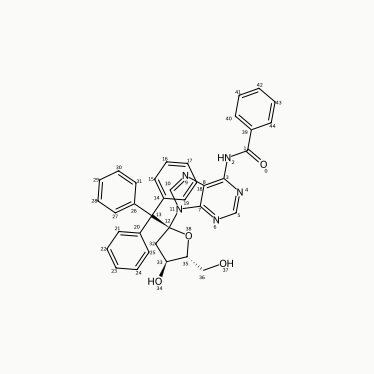 O=C(Nc1ncnc2c1ncn2[C@@]1(C(c2ccccc2)(c2ccccc2)c2ccccc2)C[C@H](O)[C@@H](CO)O1)c1ccccc1